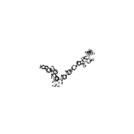 [2H]C([2H])([2H])Oc1ncc(-c2ccnc(N3CCn4c(cc5c4CC(C)(C)C5)C3=O)c2[C@@H](C)O)cc1Nc1ccc(N2CCN(C3CCN(c4ccc5c(c4)C(=O)N(C4CCC(=O)N(COP(=O)(O)O)C4=O)C5=O)CC3)C[C@@H]2C)cn1